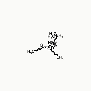 C/C=C/C=C/C(=O)OC[C@H](COP(=O)(O)OCC[N+](C)(C)C)OC(=O)/C=C/C=C/C